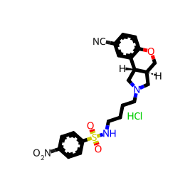 Cl.N#Cc1ccc2c(c1)[C@H]1CN(CCCCNS(=O)(=O)c3ccc([N+](=O)[O-])cc3)C[C@@H]1CO2